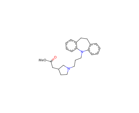 COC(=O)CC1CCN(CCCN2c3ccccc3CCc3ccccc32)C1